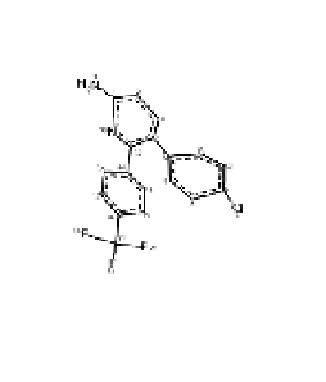 Nc1ccc(-c2ccc(Cl)cc2)c(-c2ccc(C(F)(F)F)cc2)n1